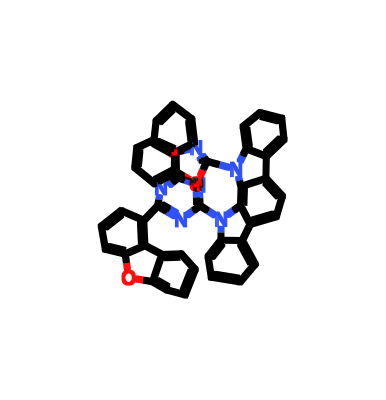 c1ccc(-c2nc(-c3cccc4oc5ccccc5c34)nc(-n3c4ccccc4c4ccc5c6ccccc6n(-c6nc7ccccc7o6)c5c43)n2)cc1